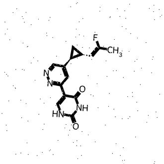 C/C(F)=C/[C@H]1C[C@@H]1c1cnnc(-c2c[nH]c(=O)[nH]c2=O)c1